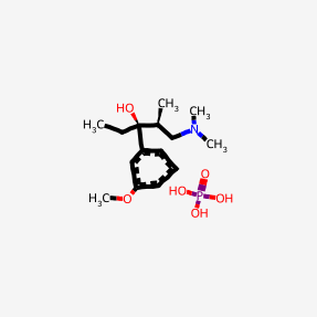 CC[C@@](O)(c1cccc(OC)c1)[C@@H](C)CN(C)C.O=P(O)(O)O